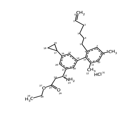 C=CCCCCc1cc(C)cc(C)c1-c1cc(C2CC2)cc([C@@H](N)CC(=O)OCC)c1.Cl